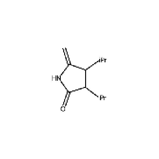 C=C1NC(=O)C(C(C)C)C1C(C)C